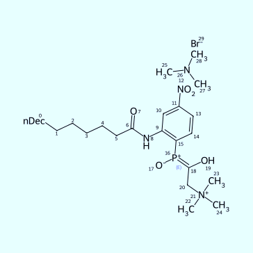 CCCCCCCCCCCCCCCC(=O)Nc1cc([N+](=O)[O-])ccc1/[P+]([O-])=C(\O)C[N+](C)(C)C.CN(C)C.[Br-]